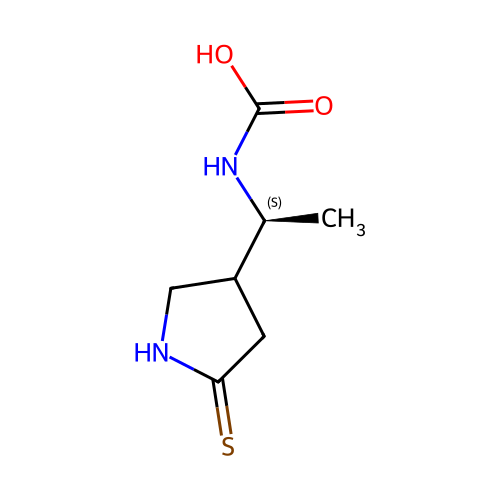 C[C@H](NC(=O)O)C1CNC(=S)C1